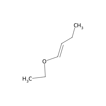 CCC=COCC